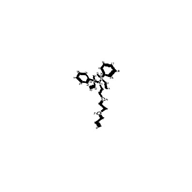 C=CCOCCOCCN([Si](C)(C=C)c1ccccc1)[Si](C)(C=C)c1ccccc1